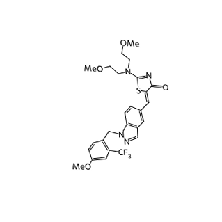 COCCN(CCOC)C1=NC(=O)/C(=C/c2ccc3c(cnn3Cc3ccc(OC)cc3C(F)(F)F)c2)S1